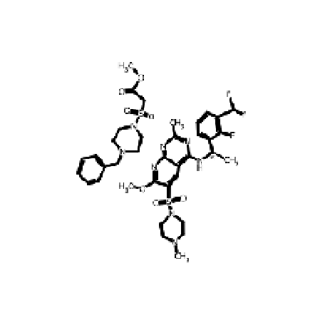 COC(=O)CS(=O)(=O)N1CCN(Cc2ccccc2)CC1.COc1nc2nc(C)nc(N[C@H](C)c3cccc(C(F)F)c3F)c2cc1S(=O)(=O)N1CCN(C)CC1